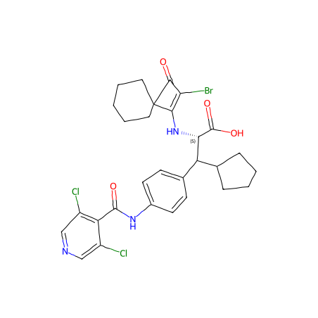 O=C(Nc1ccc(C(C2CCCC2)[C@H](NC2=C(Br)C(=O)C23CCCCC3)C(=O)O)cc1)c1c(Cl)cncc1Cl